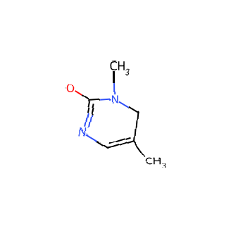 CC1=CN=C([O])N(C)C1